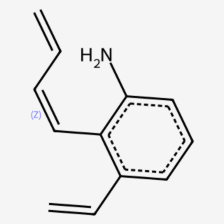 C=C/C=C\c1c(N)cccc1C=C